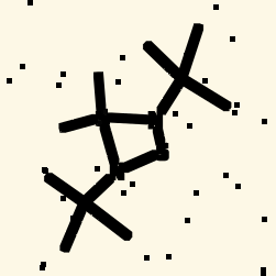 CC(C)(C)N1SN(C(C)(C)C)S1(C)C